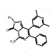 Cc1cc(-c2c(-c3ccccc3)nc(N)n3c(=O)n(C(C)C)nc23)cc(C)n1